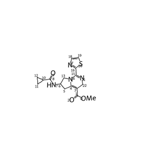 COC(=O)C1=C2CC(NC(=O)C3CC3)CN2C(c2nccs2)=NC1